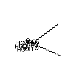 CCCCCCCCCCCCCCCCCC(=O)O[C@H](COC(=O)CCCCCCCCCCCCCCC)COP(=O)(O)OC1C(O)C(O)C(O)[C@@H](O)C1O